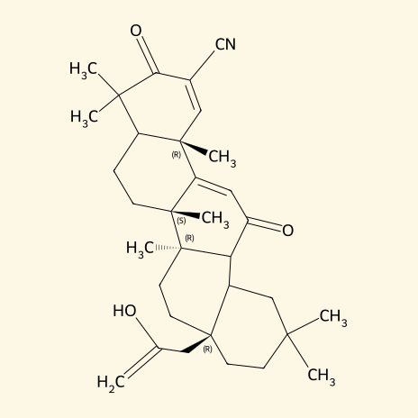 C=C(O)C[C@]12CCC(C)(C)CC1C1C(=O)C=C3[C@@]4(C)C=C(C#N)C(=O)C(C)(C)C4CC[C@@]3(C)[C@]1(C)CC2